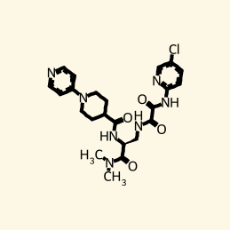 CN(C)C(=O)[C@H](CNC(=O)C(=O)Nc1ccc(Cl)cn1)NC(=O)C1CCN(c2ccncc2)CC1